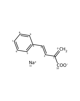 C=C(C=Cc1ccccc1)C(=O)[O-].[Na+]